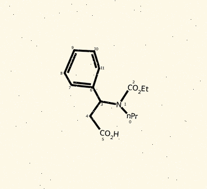 CCCN(C(=O)OCC)C(CC(=O)O)c1ccccc1